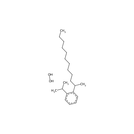 CCCCCCCCCCC(C)c1ccccc1C(C)C.OO